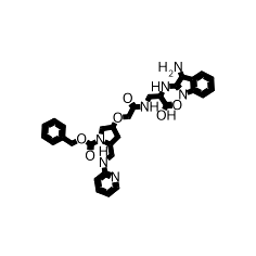 NC1C(NC(CNC(=O)COC2CC(CNc3ccccn3)N(C(=O)OCc3ccccc3)C2)C(=O)O)=Nc2ccccc21